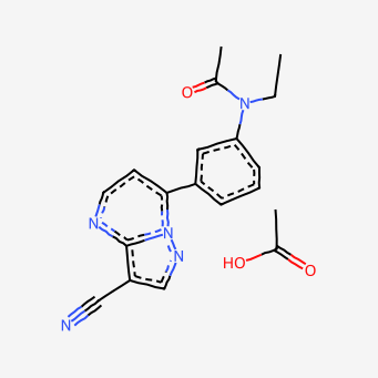 CC(=O)O.CCN(C(C)=O)c1cccc(-c2ccnc3c(C#N)cnn23)c1